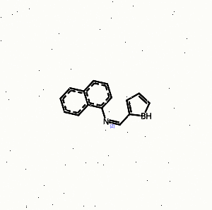 B1C=CC=C1/C=N\c1cccc2ccccc12